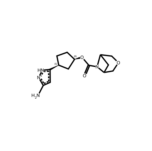 Nc1cc([C@H]2CC[C@@H](OC(=O)N3C4COCC3C4)C2)[nH]n1